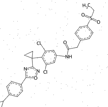 CCS(=O)(=O)c1ccc(CC(=O)Nc2cc(Cl)c(C3(c4noc(-c5ccc(C6CC6)cc5)n4)CC3)c(Cl)c2)cc1